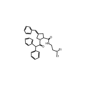 CCN(CC)CCNC(=O)C1CC(=Cc2ccccc2)CN1C(=O)C(c1ccccc1)c1ccccc1